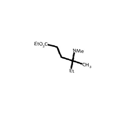 CCOC(=O)CCC(C)(CC)NC